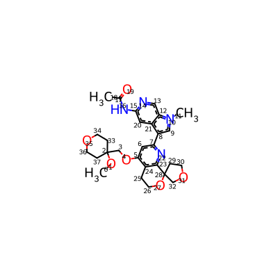 COC1(COc2cc(-c3cn(C)c4cnc(NC(C)=O)cc34)nc3c2CCOC32CCOC2)CCOCC1